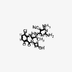 C[C@H](Nc1nc(N)nc(N)c1C#N)c1nc2c(Cl)ccc(Cl)c2c(=O)n1C1CC(O)C1